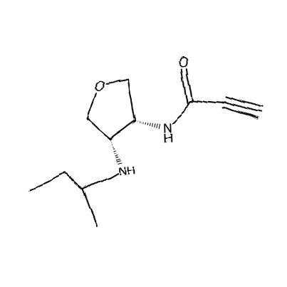 C#CC(=O)N[C@H]1COC[C@H]1NC(C)CC